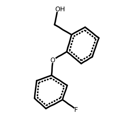 OCc1ccccc1Oc1cccc(F)c1